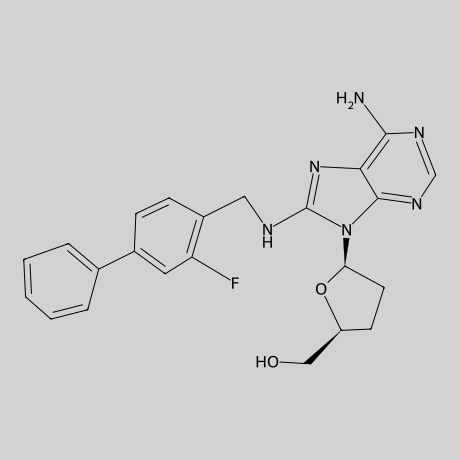 Nc1ncnc2c1nc(NCc1ccc(-c3ccccc3)cc1F)n2[C@H]1CC[C@@H](CO)O1